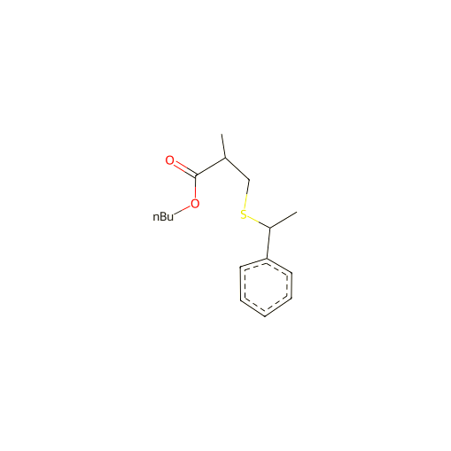 CCCCOC(=O)C(C)CSC(C)c1ccccc1